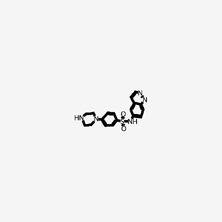 O=S(=O)(Nc1ccc2nnccc2c1)c1ccc(N2CCNCC2)cc1